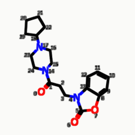 O=C(CCn1c(=O)oc2ccccc21)N1CCN(C2CCCC2)CC1